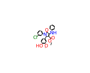 CCOC(=O)C1=C(Nc2ccccc2)C(=O)N(c2cccc(Cl)c2)C1c1ccc(O)c(OC)c1